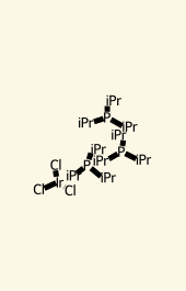 CC(C)P(C(C)C)C(C)C.CC(C)P(C(C)C)C(C)C.CC(C)P(C(C)C)C(C)C.[Cl][Ir]([Cl])[Cl]